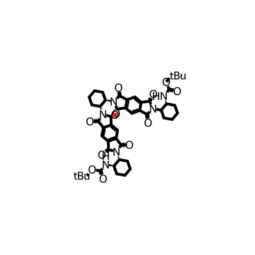 CC(C)(C)OC(=O)N[C@@H]1CCCCC1n1c(=O)c2cc3c(=O)n([C@@H]4CCCC[C@H]4n4c(=O)c5cc6c(=O)n([C@@H]7CCCC[C@H]7NC(=O)OC(C)(C)C)c(=O)c6cc5c4=O)c(=O)c3cc2c1=O